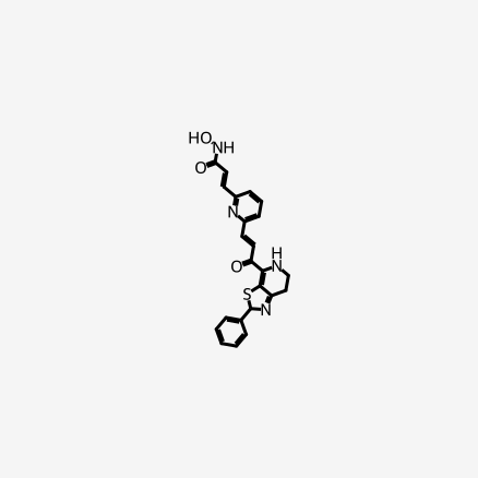 O=C(C=Cc1cccc(C=CC(=O)C2=C3SC(c4ccccc4)N=C3CCN2)n1)NO